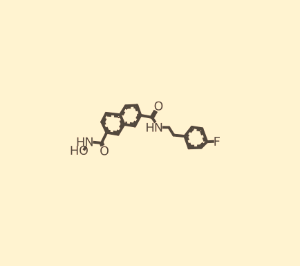 O=C(NO)c1ccc2ccc(C(=O)NCCc3ccc(F)cc3)cc2c1